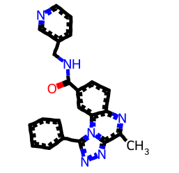 Cc1nc2ccc(C(=O)NCc3cccnc3)cc2n2c(-c3ccccc3)nnc12